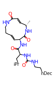 CCCCCCCCCCCCNC(=O)NC(CC(C)C)C(=O)N[C@H]1/C=C/CCNC(=O)/C=C/[C@H](C)NC1=O